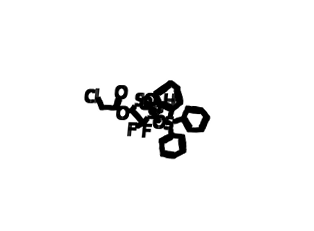 O=C(CCl)OC(C(F)(F)S(=O)(=O)OS(c1ccccc1)(c1ccccc1)c1ccccc1)S(=O)(=O)O